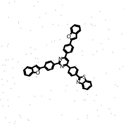 C1=CC(c2cc(-c3ccc(-c4cc5ccccc5o4)cc3)nc(-c3ccc(-c4cc5ccccc5o4)cc3)n2)CC=C1c1nc2ccccc2s1